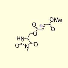 COC(=O)/C=C/C(=O)OCC1NC(=O)N(C)C1=O